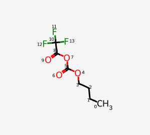 CCCCOC(=O)OC(=O)C(F)(F)F